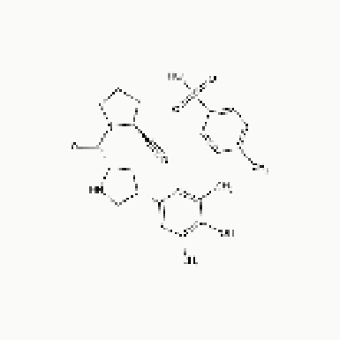 Cc1cc([C@@H]2CN[C@H](C(=O)N3CCC[C@H]3C#N)C2)cc(C)c1O.Cc1ccc(S(=O)(=O)O)cc1